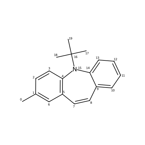 Cc1ccc2c(c1)C=Cc1ccccc1N2C(C)(C)C